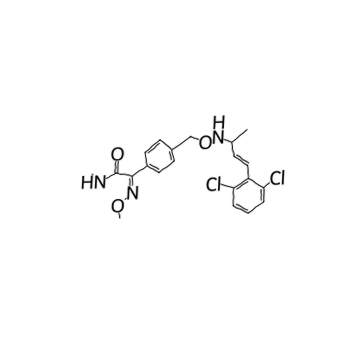 CNC(=O)C(=NOC)c1ccc(CONC(C)C=Cc2c(Cl)cccc2Cl)cc1